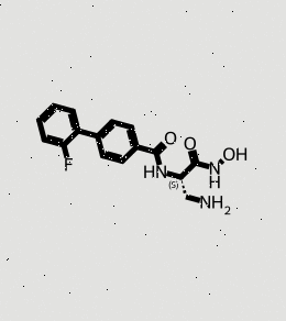 NC[C@H](NC(=O)c1ccc(-c2ccccc2F)cc1)C(=O)NO